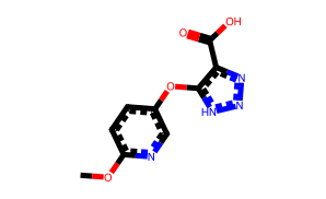 COc1ccc(Oc2[nH]nnc2C(=O)O)cn1